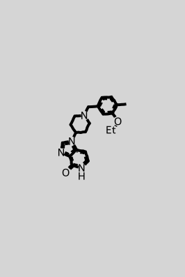 CCOc1cc(CN2CCC(n3cnc4c(=O)[nH]ccc43)CC2)ccc1C